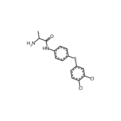 CC(N)C(=O)Nc1ccc(Sc2ccc(Cl)c(Cl)c2)cc1